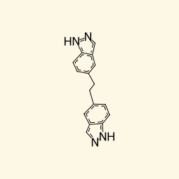 c1cc2[nH]ncc2cc1CCc1ccc2[nH]ncc2c1